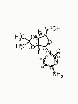 CC1(C)O[C@@H]2[C@H](O1)[C@@H](CO)O[C@H]2n1ccc(N)nc1=O